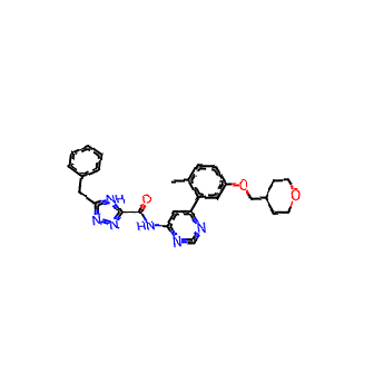 Cc1ccc(OCC2CCOCC2)cc1-c1cc(NC(=O)c2nnc(Cc3ccccc3)[nH]2)ncn1